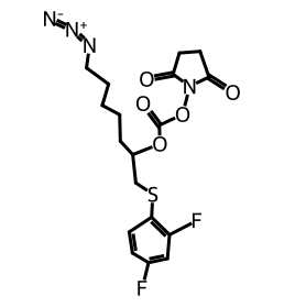 [N-]=[N+]=NCCCCCC(CSc1ccc(F)cc1F)OC(=O)ON1C(=O)CCC1=O